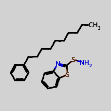 CCCCCCCCCCc1ccccc1.NSc1nc2ccccc2s1